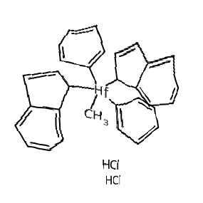 Cl.Cl.[CH3][Hf]([c]1ccccc1)([c]1ccccc1)([CH]1C=Cc2ccccc21)[CH]1C=Cc2ccccc21